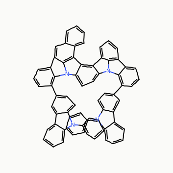 c1ccc(-n2c3ccccc3c3cc(-c4cccc5c6cccc7c8c9c%10c%11ccccc%11cc%11c%12cccc(-c%13ccc%14c(c%13)c%13ccccc%13n%14-c%13ccccc%13)c%12n(c9ccc8n(c45)c67)c%11%10)ccc32)cc1